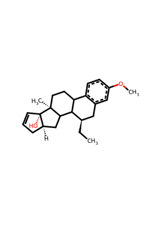 CC[C@@H]1Cc2cc(OC)ccc2C2CC[C@@]3(C)C(C[C@H]4CC=C[C@]43O)C21